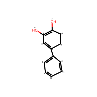 OC1=C(O)CCC(c2ccccc2)=C1